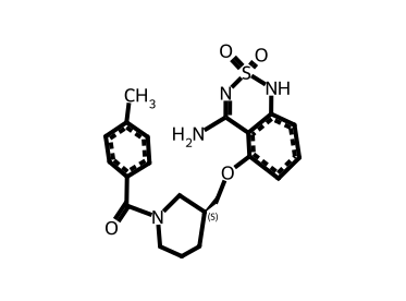 Cc1ccc(C(=O)N2CCC[C@H](COc3cccc4c3C(N)=NS(=O)(=O)N4)C2)cc1